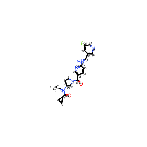 CN(C(=O)C1CC1)[C@H]1CCN(C(=O)c2ccc(NCc3cncc(F)c3)nc2)C1